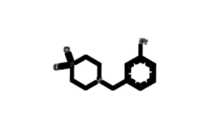 CC(C)c1cccc(CN2CCS(=O)(=O)CC2)c1